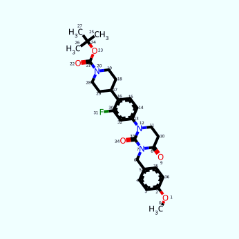 COc1ccc(CN2C(=O)CCN(c3ccc(C4CCN(C(=O)OC(C)(C)C)CC4)c(F)c3)C2=O)cc1